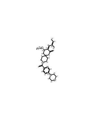 C=C1CC2(CCN(C(=C)c3ccc(N4CCOCC4)cn3)CC2)CC(OC(C)C)/C1=C/C(C)=C\C